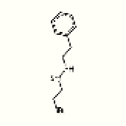 CCC(C)C[CH2][Sm][PH]CCc1ccccc1